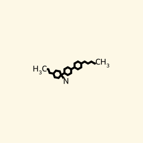 CCCCCC1CCC(C2CCC(C3(C#N)CCC(CCC)CC3)CC2)CC1